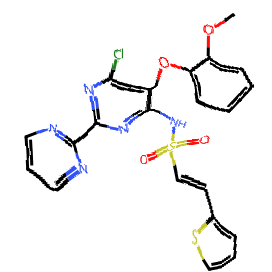 COc1ccccc1Oc1c(Cl)nc(-c2ncccn2)nc1NS(=O)(=O)/C=C/c1cccs1